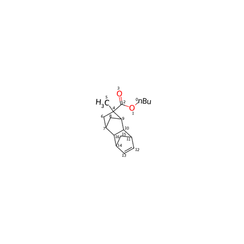 CCCCOC(=O)C1(C)CC2CC1C1C3C=CC(C3)C21